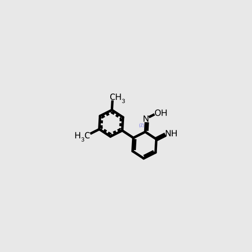 Cc1cc(C)cc(C2=CC=CC(=N)/C2=N\O)c1